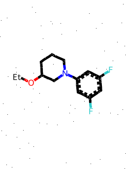 CCOC1CCCN(c2cc(F)cc(F)c2)C1